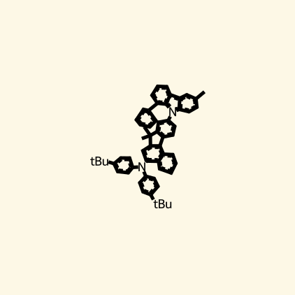 Cc1ccc2c(c1)c1cccc(-c3ccccc3)c1n2-c1ccc2c(c1)C(C)(C)c1cc(N(c3ccc(C(C)(C)C)cc3)c3ccc(C(C)(C)C)cc3)c3ccccc3c1-2